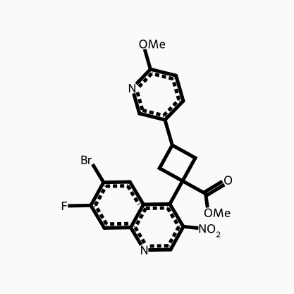 COC(=O)C1(c2c([N+](=O)[O-])cnc3cc(F)c(Br)cc23)CC(c2ccc(OC)nc2)C1